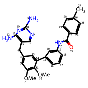 COc1cc(Cc2cnc(N)nc2N)cc(-c2cccc(NC(=O)c3ccc(C)cc3)c2)c1OC